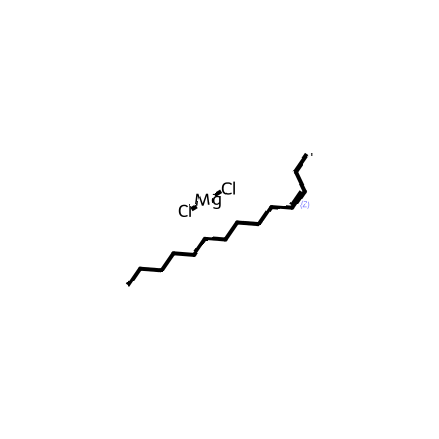 [CH2]C/C=C\CCCCCCCCCC.[Cl][Mg][Cl]